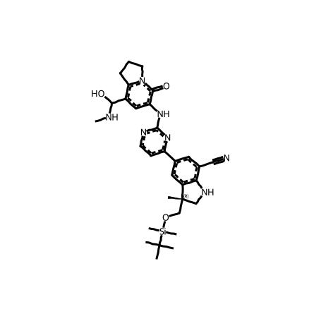 CNC(O)c1cc(Nc2nccc(-c3cc(C#N)c4c(c3)[C@@](C)(CO[Si](C)(C)C(C)(C)C)CN4)n2)c(=O)n2c1CCC2